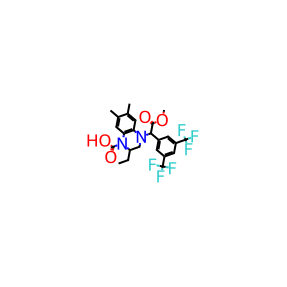 CCC1CN(C(C(=O)OC)c2cc(C(F)(F)F)cc(C(F)(F)F)c2)c2cc(C)c(C)cc2N1C(=O)O